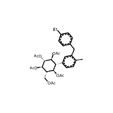 CCc1ccc(Cc2cc([C@H]3[C@H](OC(C)=O)[C@@H](OC(C)=O)[C@H](OC(C)=O)[C@@H](COC(C)=O)[C@@H]3OC(C)=O)ccc2C)cc1